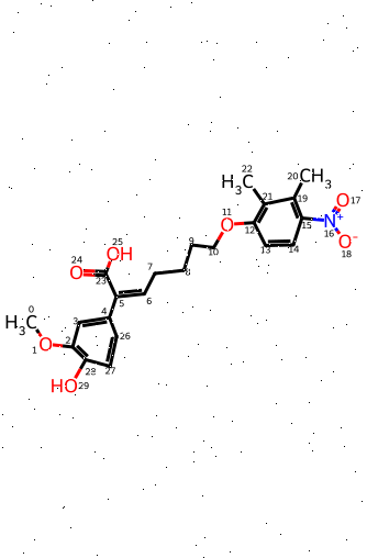 COc1cc(C(=CCCCCOc2ccc([N+](=O)[O-])c(C)c2C)C(=O)O)ccc1O